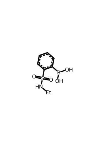 CCNS(=O)(=O)c1ccccc1B(O)O